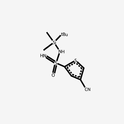 CC(C)(C)[Si](C)(C)NS(=N)(=O)c1cc(C#N)cs1